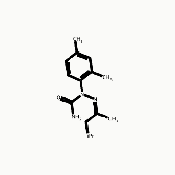 CC(CC(C)C)=NN(C(N)=O)c1ccc(C)cc1C